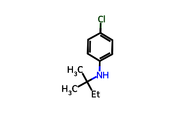 CCC(C)(C)Nc1ccc(Cl)cc1